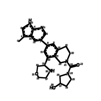 Cc1c[nH]c2ncc(-c3cc4c(c([C@@H]5COCCN5)c3)CN(C(=O)N3CCC(O)C3)CC4)cc12